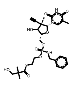 C#C[C@@]1(F)[C@H](O)[C@@H](COP(=O)(NCc2ccccc2)OCCSC(=O)C(C)(C)CO)O[C@H]1n1cc(C)c(=O)[nH]c1=O